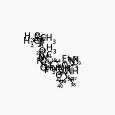 CCn1nccc1C(=O)NC(C(=O)Nc1ccc(-c2c(C)nn(COCCS(C)(C)C)c2C)c(F)n1)C(C1CC1)C1CC1